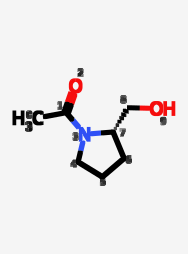 CC(=O)N1CCC[C@H]1CO